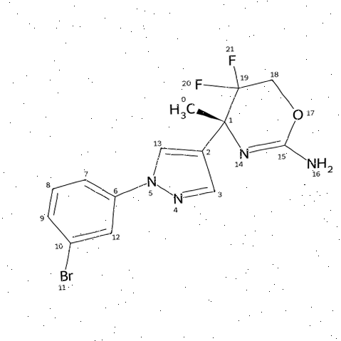 C[C@]1(c2cnn(-c3cccc(Br)c3)c2)N=C(N)OCC1(F)F